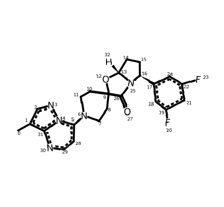 Cc1cnn2c(N3CCC4(CC3)O[C@@H]3CC[C@@H](c5cc(F)cc(F)c5)N3C4=O)ccnc12